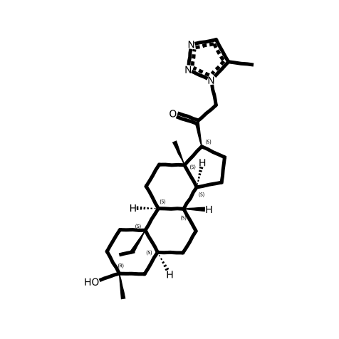 CC[C@]12CC[C@@](C)(O)C[C@@H]1CC[C@H]1[C@@H]3CC[C@H](C(=O)Cn4nncc4C)[C@@]3(C)CC[C@@H]12